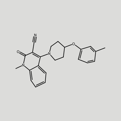 Cc1cccc(OC2CCN(c3c(C#N)c(=O)n(C)c4ccccc34)CC2)c1